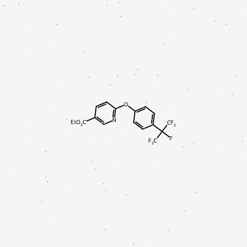 CCOC(=O)c1ccc(Oc2ccc(C(F)(C(F)(F)F)C(F)(F)F)cc2)nc1